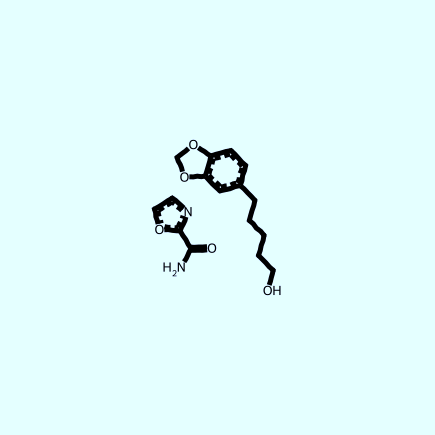 NC(=O)c1ncco1.OCCCCCc1ccc2c(c1)OCO2